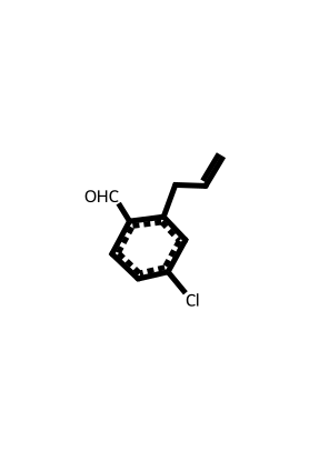 C=CCc1cc(Cl)ccc1C=O